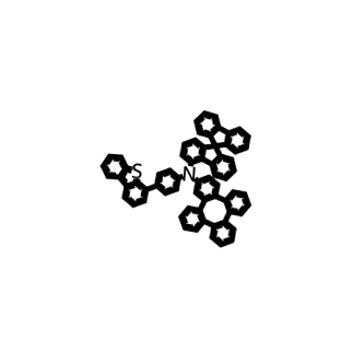 c1ccc2c(c1)-c1ccccc1-c1ccc(N(c3ccc(-c4cccc5c4sc4ccccc45)cc3)c3cccc4c3-c3ccccc3C43c4ccccc4-c4ccccc43)cc1-c1ccccc1-2